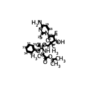 CC(C)OC(=O)[C@H](C)NP(=O)(OC[C@@]1(C)O[C@@H](n2ccc(N)nc2=S)[C@@H](F)[C@H]1O)Oc1ccccc1